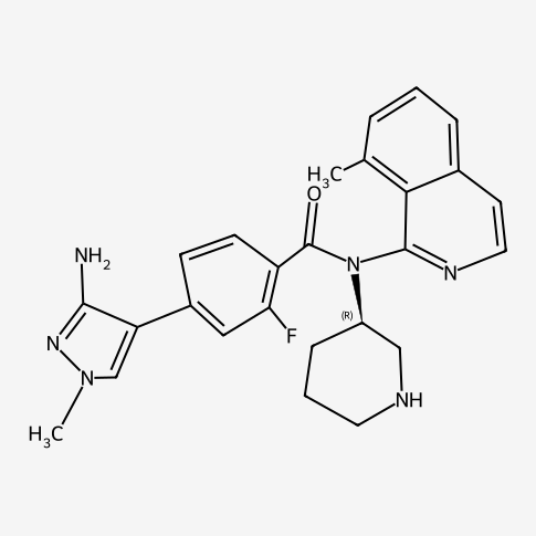 Cc1cccc2ccnc(N(C(=O)c3ccc(-c4cn(C)nc4N)cc3F)[C@@H]3CCCNC3)c12